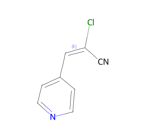 N#C/C(Cl)=C\c1ccncc1